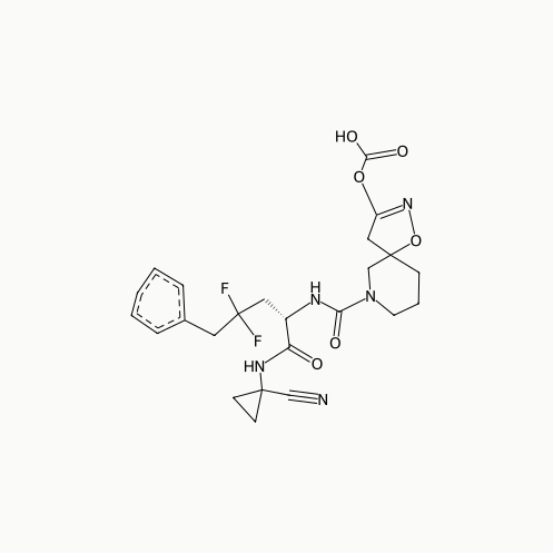 N#CC1(NC(=O)[C@H](CC(F)(F)Cc2ccccc2)NC(=O)N2CCCC3(CC(OC(=O)O)=NO3)C2)CC1